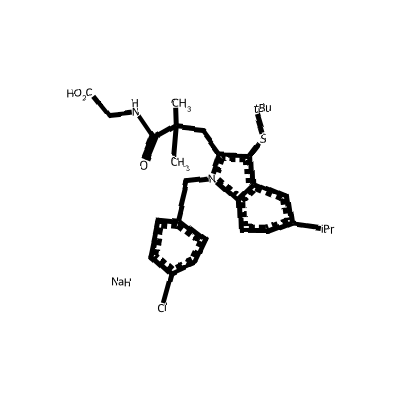 CC(C)c1ccc2c(c1)c(SC(C)(C)C)c(CC(C)(C)C(=O)NCC(=O)O)n2Cc1ccc(Cl)cc1.[NaH]